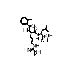 CNC(=N)NCCC[C@H](NC(=O)c1ccccc1C)C(=O)N[C@@H](CC(C)C)B(O)O